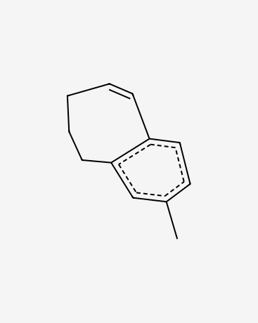 Cc1ccc2c(c1)CCCC=C2